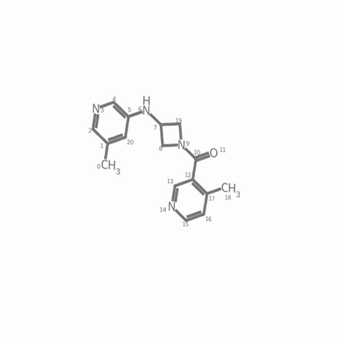 Cc1cncc(NC2CN(C(=O)c3cnccc3C)C2)c1